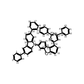 c1ccc(-c2ccc3c(c2)c2ccc(-c4ccccc4)cc2n3-c2ccc3c(c2)oc2cccc(-c4cc(-c5ccccc5)nc(-c5ccccc5)n4)c23)cc1